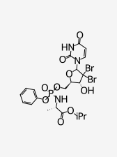 CC(C)OC(=O)[C@H](C)NP(=O)(OC[C@H]1OC(n2ccc(=O)[nH]c2=O)C(Br)(Br)[C@@H]1O)Oc1ccccc1